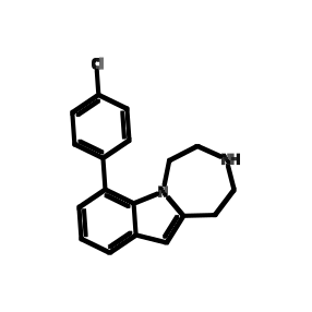 Clc1ccc(-c2cccc3cc4n(c23)CCNCC4)cc1